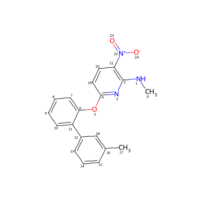 CNc1nc(Oc2ccccc2-c2cccc(C)c2)ccc1[N+](=O)[O-]